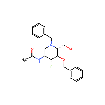 CC(=O)N[C@H]1CN(Cc2ccccc2)[C@H](CO)[C@@H](OCc2ccccc2)[C@@H]1F